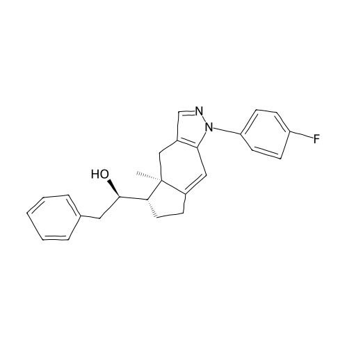 C[C@]12Cc3cnn(-c4ccc(F)cc4)c3C=C1CC[C@@H]2[C@H](O)Cc1ccccc1